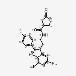 O=C1CC(C(=O)NCCc2c(-c3ccc(F)cc3)[nH]c3c(F)cc(F)cc23)CO1